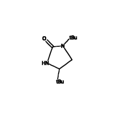 CC(C)(C)C1CN(C(C)(C)C)C(=O)N1